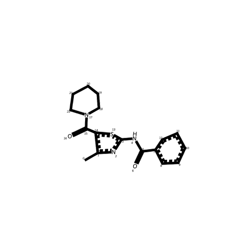 Cc1nc(NC(=O)c2ccccc2)sc1C(=O)N1CCCCC1